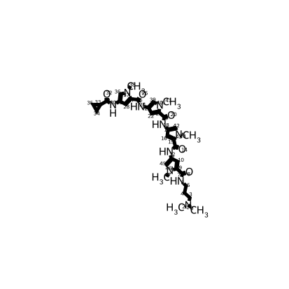 CN(C)CCCNC(=O)c1cc(NC(=O)c2cc(NC(=O)c3cc(NC(=O)c4cc(NC(=O)C5CC5)cn4C)cn3C)cn2C)cn1C